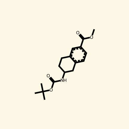 COC(=O)c1ccc2c(c1)CCC(NC(=O)OC(C)(C)C)C2